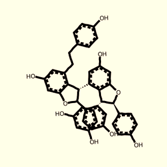 Oc1ccc(CCc2cc(O)cc3c2[C@H](c2cc(O)cc4c2[C@@H](c2cc(O)cc(O)c2)[C@H](c2ccc(O)cc2)O4)C(c2ccc(O)cc2)O3)cc1